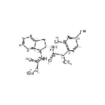 CC(C(=O)N[C@H]1Cc2ccccc2C1NC(=O)OC(C)(C)C)c1ccc(F)cc1Cl